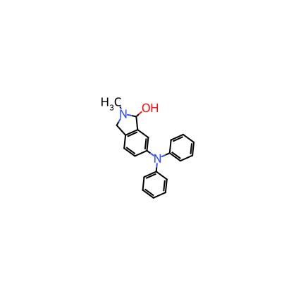 CN1Cc2ccc(N(c3ccccc3)c3ccccc3)cc2C1O